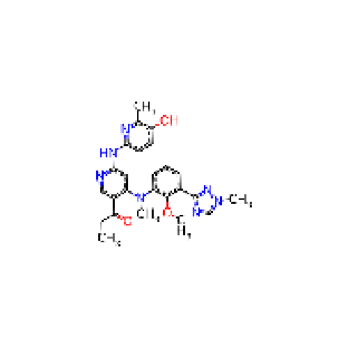 CCC(=O)c1cnc(Nc2ccc(O)c(C)n2)cc1N(C)c1cccc(-c2ncn(C)n2)c1OC